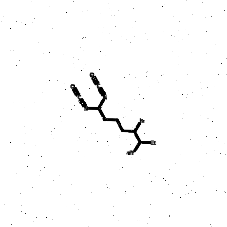 CCCC(CC)C(CC)CCCC(N=C=O)N=C=O